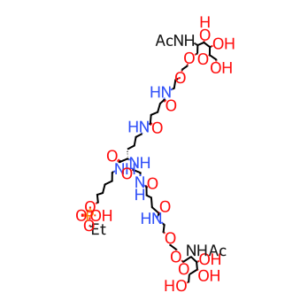 CCOP(=O)(O)OCCCCCCNC(=O)[C@H](CCCCNC(=O)CCCC(=O)NCCOCCOC1OC(CO)C(O)C(O)C1NC(C)=O)NC(=O)CNC(=O)CCCC(=O)NCCOCCOC1OC(CO)C(O)C(O)C1NC(C)=O